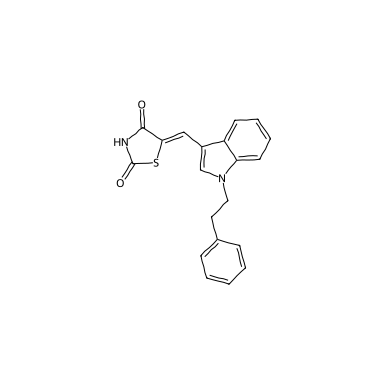 O=C1NC(=O)/C(=C/c2cn(CCc3ccccc3)c3ccccc23)S1